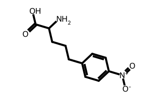 NC(CCCc1ccc([N+](=O)[O-])cc1)C(=O)O